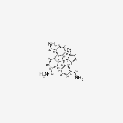 CCC1=CC=C[C]1C(c1cccc(CN)c1)(c1cccc(CN)c1)c1cccc(CN)c1